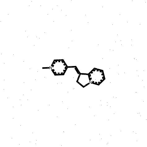 C[n+]1ccc(/C=C2\CC[n+]3ccccc32)cc1